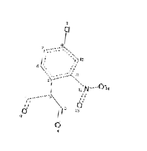 O=CC(C=O)c1ccc(Cl)cc1[N+](=O)[O-]